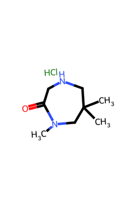 CN1CC(C)(C)CNCC1=O.Cl